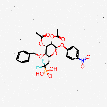 CC(=O)O[C@@H]1[C@H](OC(C)=O)[C@@H](Oc2ccc([N+](=O)[O-])cc2)O[C@H](CC(F)(F)P(=O)(O)O)[C@H]1OCc1ccccc1